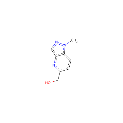 Cn1ncc2nc(CO)ccc21